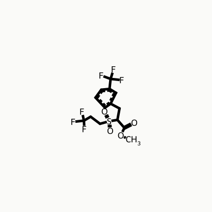 COC(=O)C(Cc1cccc(C(F)(F)F)c1)S(=O)(=O)CCC(F)(F)F